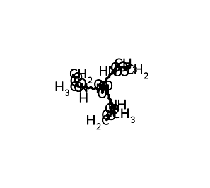 C=CC(=O)OCC(C)OC(=O)NCCCCCCn1c(=O)n(CCCCCCNC(=O)OC(C)COC(=O)C=C)c(=O)n(CCCCCCNC(=O)OC(C)COC(=O)C=C)c1=O